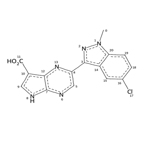 Cn1nc(-c2cnc3[nH]cc(C(=O)O)c3n2)c2cc(Cl)ccc21